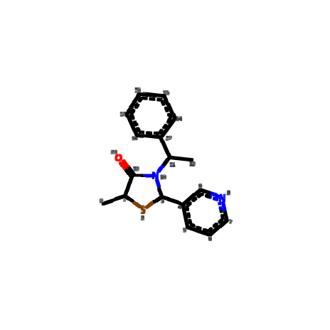 CC1SC(c2cccnc2)N(C(C)c2ccccc2)C1=O